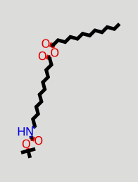 CCCCCCCCCCCC(=O)OC(=O)CCCCCCCCCCCNC(=O)OC(C)(C)C